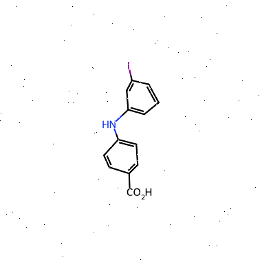 O=C(O)c1ccc(Nc2cccc(I)c2)cc1